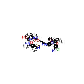 Cc1ncsc1-c1ccc([C@H](C)NC(=O)[C@@H]2C[C@@H](O)CN2CC(NC(=O)COCCCCCNc2ccc3c(c2)C(=O)N([C@]2(C)C[C@@](C)(Oc4ccc(C#N)c(Cl)c4)C2(C)C)C3)C(C)(C)C)cc1